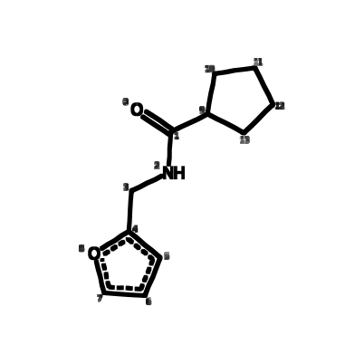 O=C(NCc1ccco1)C1CCCC1